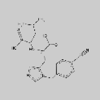 CC(C)CC(N[C@@H](Cc1cncn1Cc1ccc(C#N)cc1)C(=O)O)C(=O)O